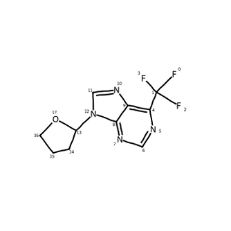 FC(F)(F)c1ncnc2c1ncn2C1CCCO1